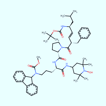 COC(=O)N(CCC[C@H](NC(=O)[C@@H]1CCCN1C(=O)[C@H](/C=C/[C@H](CC(C)C)NC(=O)OC(C)(C)C)Cc1ccccc1)C(=O)NC1CC(C)(C)N(O)C(C)(C)C1)C1c2ccccc2-c2ccccc21